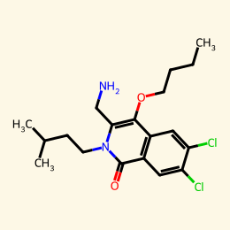 CCCCOc1c(CN)n(CCC(C)C)c(=O)c2cc(Cl)c(Cl)cc12